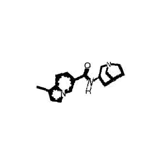 Cc1ccn2cc(C(=O)N[C@@H]3CC4CCN(C4)C3)ccc12